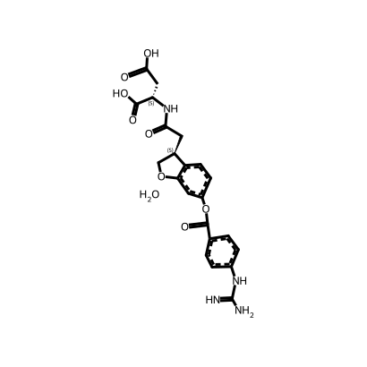 N=C(N)Nc1ccc(C(=O)Oc2ccc3c(c2)OC[C@H]3CC(=O)N[C@@H](CC(=O)O)C(=O)O)cc1.O